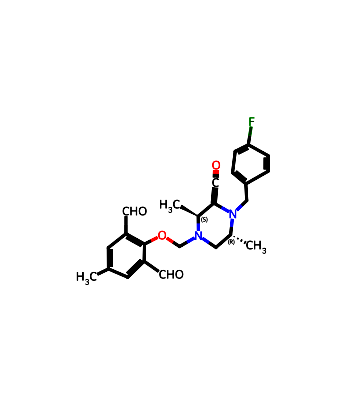 Cc1cc(C=O)c(OCN2C[C@@H](C)N(Cc3ccc(F)cc3)C(=C=O)[C@@H]2C)c(C=O)c1